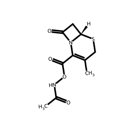 CC(=O)NOC(=O)C1=C(C)CS[C@H]2CC(=O)N12